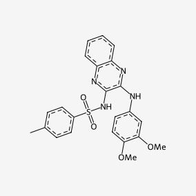 COc1ccc(Nc2nc3ccccc3nc2NS(=O)(=O)c2ccc(C)cc2)cc1OC